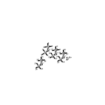 C[Si](C)(C)[N-][Si](C)(C)C.C[Si](C)(C)[N-][Si](C)(C)C.C[Si](C)(C)[N-][Si](C)(C)C.C[Si](C)(C)[N-][Si](C)(C)C.[Ti+4]